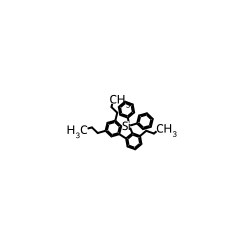 CCCc1cc(CCC)c2c(c1)-c1cccc(CCC)c1[Si]2(c1ccccc1)c1ccccc1